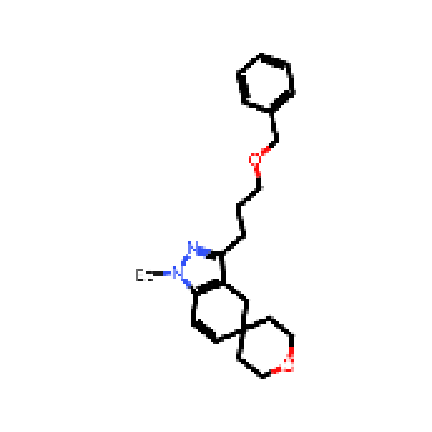 CCn1nc(CCCOCc2ccccc2)c2c1C=CC1(CCOCC1)C2